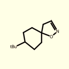 CC(C)(C)C1CCC2(C[C]=NO2)CC1